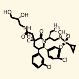 CC[C@@H](CN(C)S(=O)(=O)C1CC1)N1C(=O)[C@@](C)(CC(=O)NC[C@@H](O)CO)C[C@H](c2cccc(Cl)c2)[C@H]1c1ccc(Cl)cc1